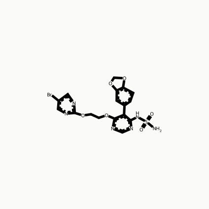 NS(=O)(=O)Nc1ncnc(OCCOc2ncc(Br)cn2)c1-c1ccc2c(c1)OCO2